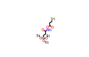 CCO[Si](CCC(=O)NOC(=O)CCS)(OCC)OCC